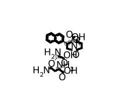 C[C@H](N)C(=O)O.NC(=O)C[C@H](N)C(=O)O.O=C(O)[C@@H]1[C@H](c2ccc3ccccc3c2)CC[N+]12C(=O)CCC2=O